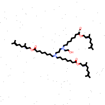 CC(C)=CCC/C(C)=C/COC(=O)CCCCCCCN(CCCCCCCC(=O)OC/C=C(\C)CCC=C(C)C)CCCN(CCO)CCCCCCCC(=C=O)OC/C=C(\C)CCC=C(C)C